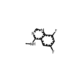 CNc1ncnc2c(F)cc(F)cc12